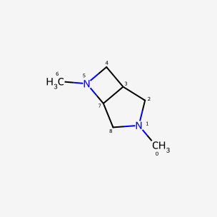 CN1CC2CN(C)C2C1